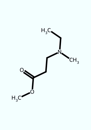 CCN(C)CCC(=O)OC